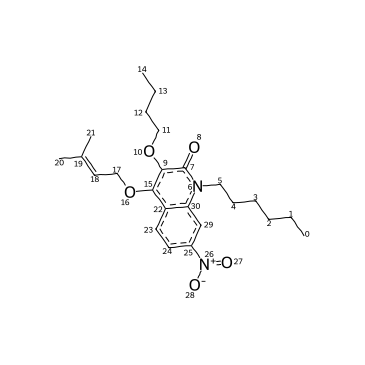 CCCCCCn1c(=O)c(OCCCC)c(OCC=C(C)C)c2ccc([N+](=O)[O-])cc21